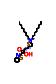 CCCCCCCCCC[N+](CCCCCCCCCC)=C1C=C/C(=C/C=C2/C(=O)C(c3nc4ccccc4s3)=C2O)S1